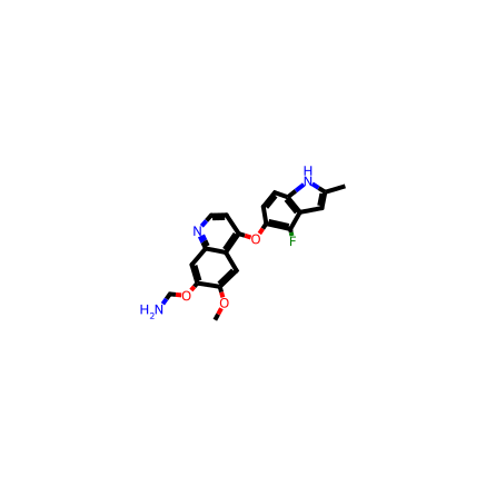 COc1cc2c(Oc3ccc4[nH]c(C)cc4c3F)ccnc2cc1OCN